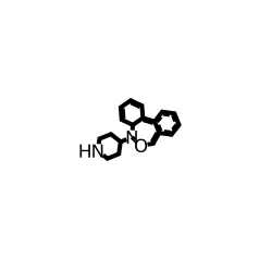 C1=CC2=c3ccccc3=CON(C3CCNCC3)C2C=C1